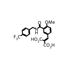 COc1ccc(C=C(C(=O)O)C(=O)O)cc1C(=O)NCc1ccc(C(F)(F)F)cc1